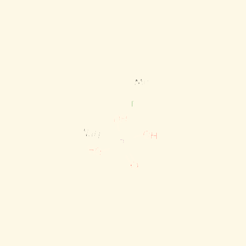 O=P(O)(O)O.[F][Mn].[NaH]